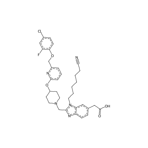 N#CCCCCCCn1c(CN2CCC(Oc3cccc(COc4ccc(Cl)cc4F)n3)CC2)nc2ccc(CC(=O)O)cc21